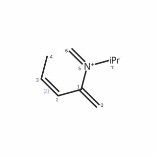 C=C(/C=C\C)[N+](=C)C(C)C